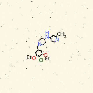 CCOc1cc(CN2CCC(Nc3ccnc(C)c3)CC2)cc(OCC)c1Cl